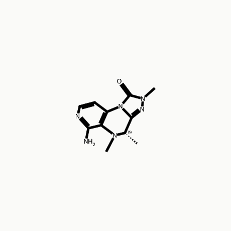 C[C@H]1c2nn(C)c(=O)n2-c2ccnc(N)c2N1C